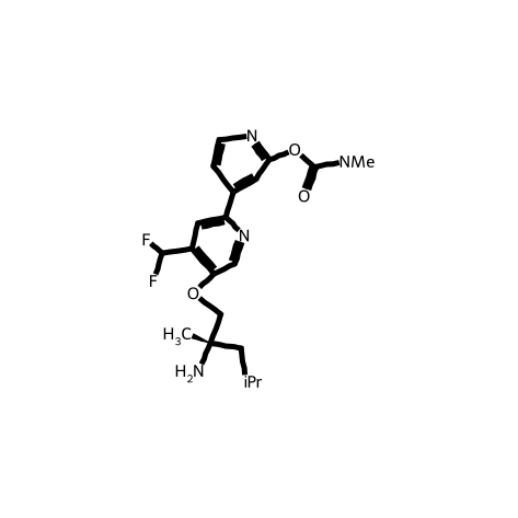 CNC(=O)Oc1cc(-c2cc(C(F)F)c(OC[C@@](C)(N)CC(C)C)cn2)ccn1